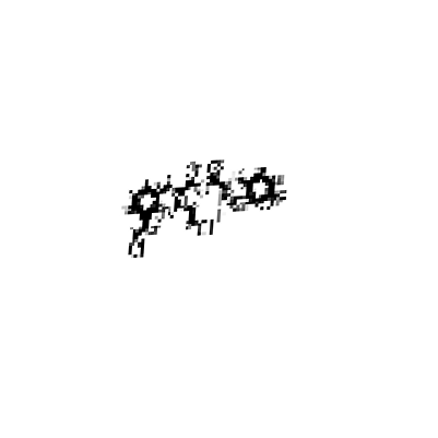 NN(CCCl)[C@@H](Cc1cccc(CCCl)c1)C(=O)OC(=O)[C@H](Cc1ccc(F)cc1)NC=O